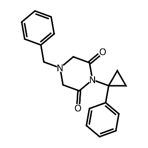 O=C1CN(Cc2ccccc2)CC(=O)N1C1(c2ccccc2)CC1